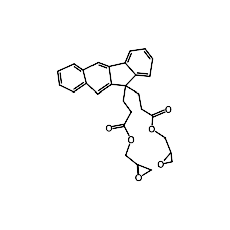 O=C(CCC1(CCC(=O)OCC2CO2)c2ccccc2-c2cc3ccccc3cc21)OCC1CO1